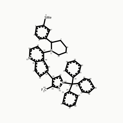 CSc1cccc(C2C[CH]CCN2c2ccnc3ccc(-c4cn(C(c5ccccc5)(c5ccccc5)c5ccccc5)nc4C(F)(F)F)cc23)c1